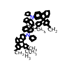 C=Cc1ccc(C2(c3ccc(C(C)(C)C)cc3)c3ccccc3-c3ccc(N(c4ccccc4)c4ccc(-c5ccc(N(c6ccccc6)c6ccc7c(c6)C(c6ccc(C(C)(C)C)cc6-c6cccc(C=C)c6)c6ccccc6-7)c6ccccc56)c5ccccc45)cc32)cc1